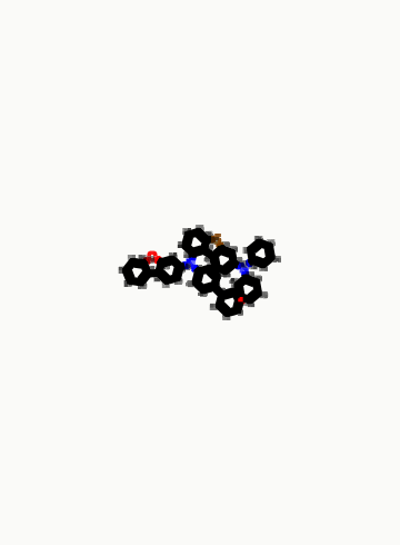 c1ccc(-c2ccc(N(c3ccc4c(c3)oc3ccccc34)c3cccc4sc5cc(N(c6ccccc6)c6ccccc6)ccc5c34)cc2)cc1